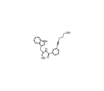 O=C(N[C@@H](CO)Cc1c[nH]c2ccccc12)c1cccc(C#CCCCO)c1